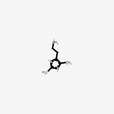 Cc1nc(C)c(CCN)s1